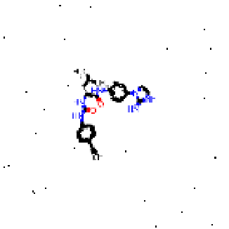 C#Cc1ccc(NC(=O)N[C@H](CC(C)C)C(=O)Nc2ccc(N3CCNC3=N)cc2)cc1